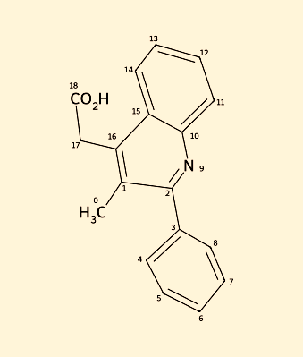 Cc1c(-c2ccccc2)nc2ccccc2c1CC(=O)O